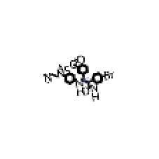 CC(=O)N(CCN(C)C)c1ccc(N/C(=C2\C(=O)Nc3cc(Br)ccc32)c2ccc3c(c2)OCO3)cc1